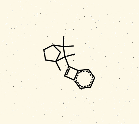 CC12CCC(C1)C(C)(C)C2(C)C1=Cc2ccccc21